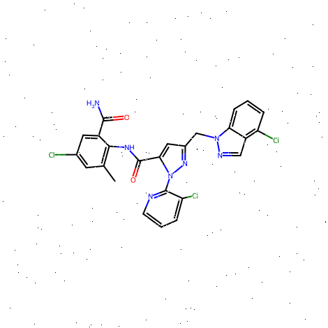 Cc1cc(Cl)cc(C(N)=O)c1NC(=O)c1cc(Cn2ncc3c(Cl)cccc32)nn1-c1ncccc1Cl